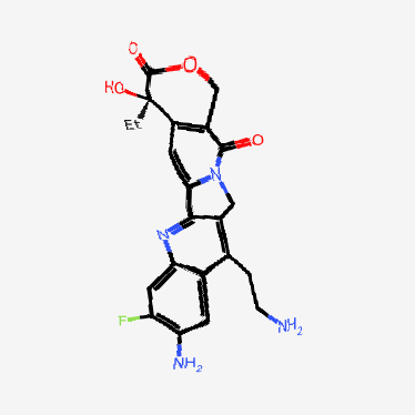 CC[C@@]1(O)C(=O)OCc2c1cc1n(c2=O)Cc2c-1nc1cc(F)c(N)cc1c2CCN